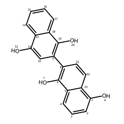 Oc1cccc2c(O)c(-c3cc(O)c4ccccc4c3O)ccc12